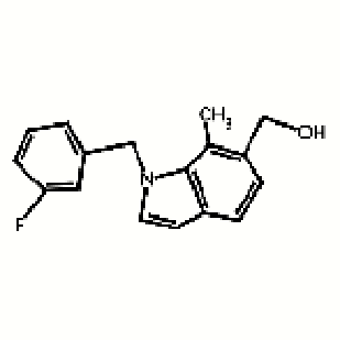 Cc1c(CO)ccc2ccn(Cc3cccc(F)c3)c12